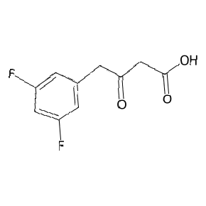 O=C(O)CC(=O)Cc1cc(F)cc(F)c1